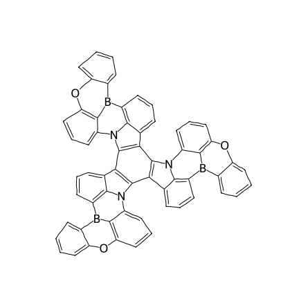 c1ccc2c(c1)Oc1cccc3c1B2c1cccc2c4c(c5c6cccc7c6n(c5c5c6cccc8c6n(c45)-c4cccc5c4B8c4ccccc4O5)-c4cccc5c4B7c4ccccc4O5)n-3c12